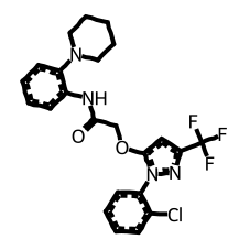 O=C(COc1cc(C(F)(F)F)nn1-c1ccccc1Cl)Nc1ccccc1N1CCCCC1